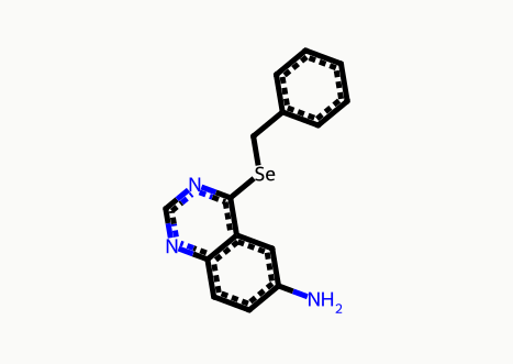 Nc1ccc2ncnc([Se]Cc3ccccc3)c2c1